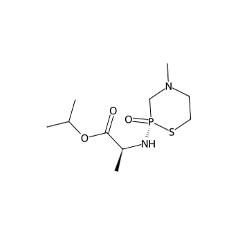 CC(C)OC(=O)[C@H](C)N[P@]1(=O)CN(C)CCS1